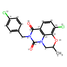 CC1Cn2c(=O)n(Cc3ccc(Cl)cc3)c(=O)c3ccc(Cl)c(c32)O1